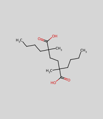 CCCCC(C)(CCC(C)(CCCC)C(=O)O)C(=O)O